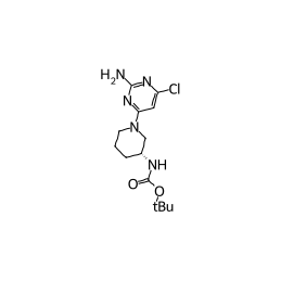 CC(C)(C)OC(=O)N[C@@H]1CCCN(c2cc(Cl)nc(N)n2)C1